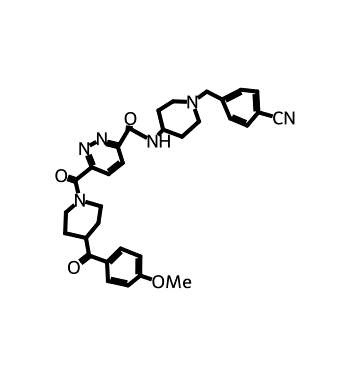 COc1ccc(C(=O)C2CCN(C(=O)c3ccc(C(=O)NC4CCN(Cc5ccc(C#N)cc5)CC4)nn3)CC2)cc1